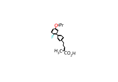 C/C(=C\CCc1ccc(-c2cc(OC(C)C)ccc2F)cc1)C(=O)O